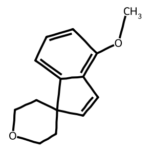 COc1cccc2c1C=CC21CCOCC1